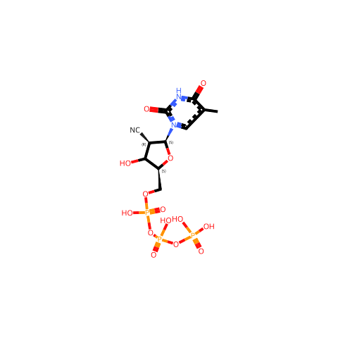 Cc1cn([C@H]2O[C@@H](COP(=O)(O)OP(=O)(O)OP(=O)(O)O)C(O)[C@H]2C#N)c(=O)[nH]c1=O